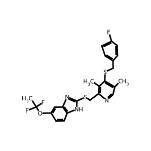 Cc1cnc(CSc2nc3cc(OC(C)(F)F)ccc3[nH]2)c(C)c1SCc1ccc(F)cc1